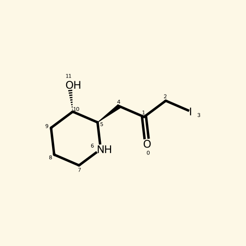 O=C(CI)C[C@H]1NCCC[C@@H]1O